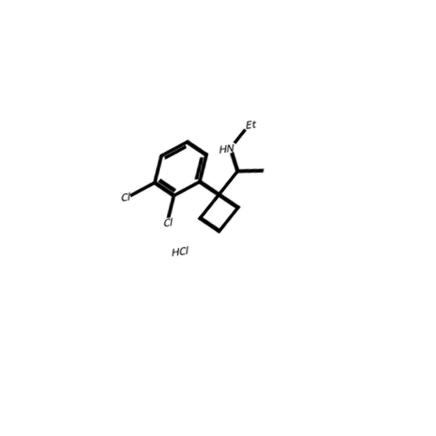 CCNC(C)C1(c2cccc(Cl)c2Cl)CCC1.Cl